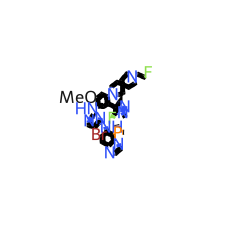 COc1cc(N2CCC3(CCN(CCF)CC3)CC2)c(-c2cnn(C)c2F)cc1Nc1ncc(Br)c(Nc2ccc3nccnc3c2P(C)C)n1